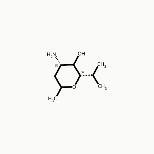 CC1C[C@H](N)C(O)[C@H](C(C)C)O1